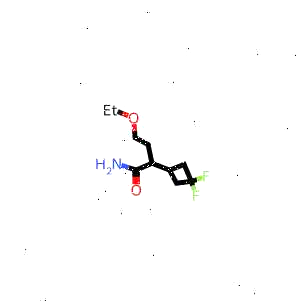 CCOCCC(C(N)=O)C1CC(F)(F)C1